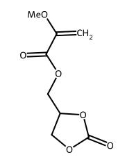 C=C(OC)C(=O)OCC1COC(=O)O1